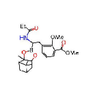 CCC(=O)NC(Cc1cccc(C(=O)OC)c1OC)B1OC2CC3CC(C3(C)C)C2(C)O1